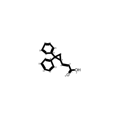 O=C(O)C=CC1CC1(c1ccccc1)c1ccccc1